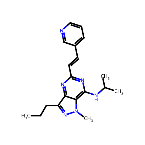 CCCc1nn(C)c2c(NC(C)C)nc(C=Cc3cccnc3)nc12